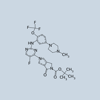 CN1CCN(c2ccc(OC(F)(F)F)c(Nc3ncc(F)c(-n4cc5c(c4)C(=O)N(C(=O)OC(C)(C)C)C5)n3)c2)CC1